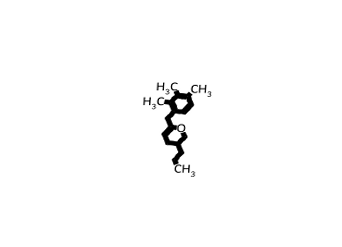 CCCC1CC=C(Cc2ccc(C)c(C)c2C)OC1